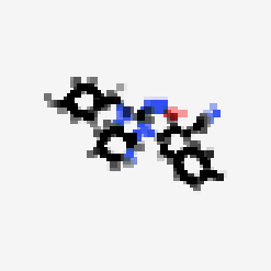 Cc1ccc(CC(C(O)CC#N)n2c(=N)n([C@@H](C)c3ccc(C)cc3)c3cccnc32)cc1